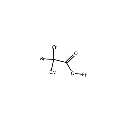 CCOC(=O)C(Br)(C#N)CC